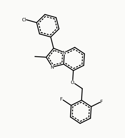 Cc1nc2c(OCc3c(F)cccc3F)cccn2c1-c1cccc(Cl)c1